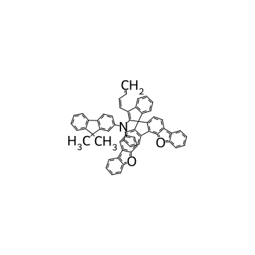 C=C/C=C\C1=C(N(c2ccc3c(c2)C(C)(C)c2ccccc2-3)c2ccc3oc4ccccc4c3c2)C2(c3ccccc31)c1ccccc1-c1c2ccc2c1oc1ccccc12